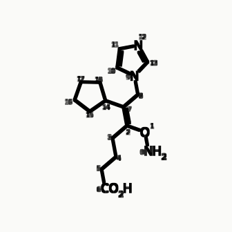 NOC(CCCC(=O)O)=C(Cn1ccnc1)C1CCCC1